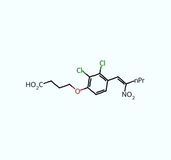 CCCC(=Cc1ccc(OCCCC(=O)O)c(Cl)c1Cl)[N+](=O)[O-]